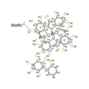 C[NH2+]CF.FC1=C(F)[CH]([Al-]([CH]2C(F)=C(F)c3c(F)c(F)c(F)c(F)c32)([CH]2C(F)=C(F)c3c(F)c(F)c(F)c(F)c32)[CH]2C(F)=C(F)c3c(F)c(F)c(F)c(F)c32)c2c(F)c(F)c(F)c(F)c21.Fc1ccccc1-c1c(F)c(F)c(F)c(F)c1F